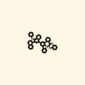 c1ccc(-n2c3ccc4ccccc4c3c3cc(-c4cc5c6c(c4)c4ccccc4n6-c4nc6ccccc6nc4-c4ccccc4-5)c4ccccc4c32)cc1